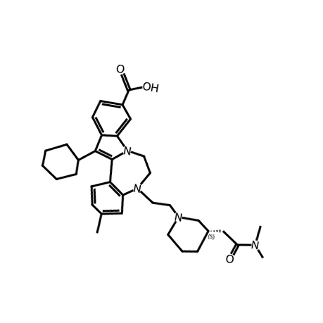 Cc1ccc2c(c1)N(CCN1CCC[C@@H](CC(=O)N(C)C)C1)CCn1c-2c(C2CCCCC2)c2ccc(C(=O)O)cc21